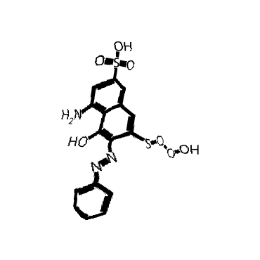 Nc1cc(S(=O)(=O)O)cc2cc(SOOO)c(N=Nc3ccccc3)c(O)c12